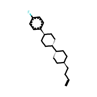 C=CCC[C@H]1CC[C@H]([C@H]2CC[C@H](c3ccc(F)cc3)CC2)CC1